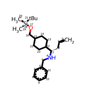 C=CC[C@H](NCc1ccccc1)C1CCC(CO[Si](C)(C)C(C)(C)C)CC1